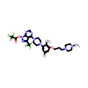 Cc1c(OCCCN2CCN(C)CC2)cc(Cl)cc1N1CCN(c2ncnc3c2c(C(F)(F)F)nn3OC(=O)C(F)(F)F)CC1